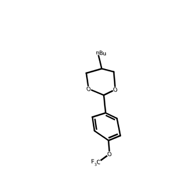 CCCCC1COC(c2ccc(OC(F)(F)F)cc2)OC1